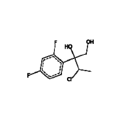 CC(Cl)C(O)(CO)c1ccc(F)cc1F